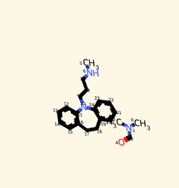 CN(C)C=O.CNCCCN1c2ccccc2CCc2ccccc21